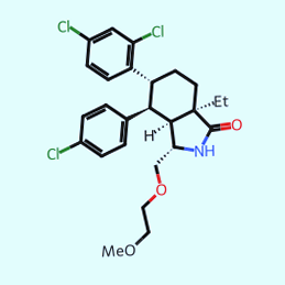 CC[C@@]12CC[C@@H](c3ccc(Cl)cc3Cl)[C@H](c3ccc(Cl)cc3)[C@@H]1[C@@H](COCCOC)NC2=O